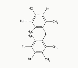 CCc1c(C)c(Oc2c(C)c(C)c(O)c(CC)c2C)c(C)c(C)c1O